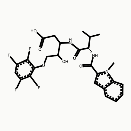 CC(C)[C@H](NC(=O)c1cc2ccccc2n1C)C(=O)NC(CC(=O)O)C(O)COc1c(F)c(F)cc(F)c1F